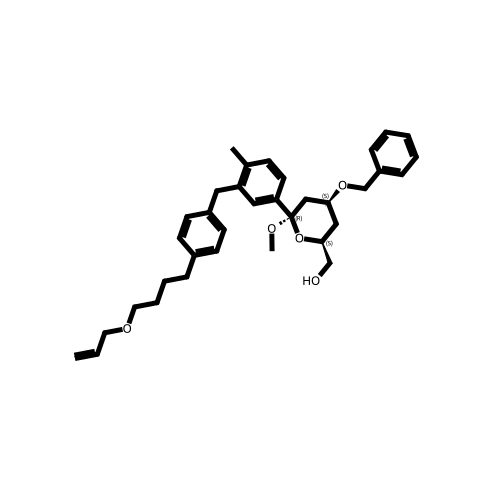 C=CCOCCCCc1ccc(Cc2cc([C@@]3(OC)C[C@@H](OCc4ccccc4)C[C@@H](CO)O3)ccc2C)cc1